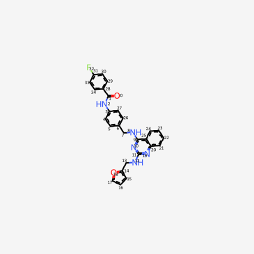 O=C(Nc1ccc(CNc2nc(NCc3ccco3)nc3ccccc23)cc1)c1ccc(F)cc1